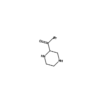 CC(C)C(=O)C1CNCCN1